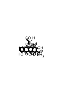 C[C@@H]1c2cccc(O)c2C(=O)C2=C(O)[C@]3(O)C(=O)C(C(N)=O)=C(O)[C@H](N(C)C)[C@H]3[C@H](OC(=O)CCC(=O)O)[C@H]21